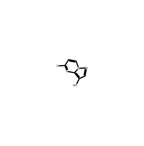 Oc1cnn2ccc(Cl)nc12